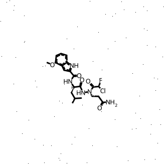 COc1cccc2[nH]c(C(=O)N[C@H](CC(C)C)C(=O)NN(CCC(N)=O)C(=O)C(F)Cl)cc12